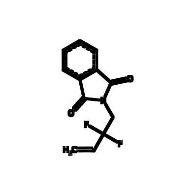 C=CC(F)(F)CN1C(=O)c2ccccc2C1=O